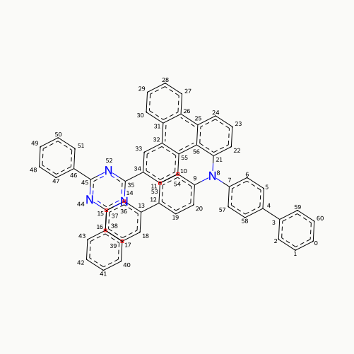 c1ccc(-c2ccc(N(c3ccc(-c4ccccc4)cc3)c3cccc4c5ccccc5c5cc(-c6nc(-c7ccccc7)nc(-c7ccccc7)n6)ccc5c34)cc2)cc1